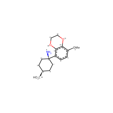 COc1ccc([C@]2(N)CC[C@@H](C(=O)O)CC2)c2c1OCCO2